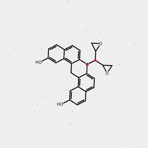 Oc1ccc2ccc(OCC3CO3)c(Cc3c(OCC4CO4)ccc4ccc(O)cc34)c2c1